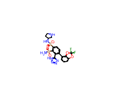 NS(=O)(=O)c1c(S(=O)(=O)NC2CCNC2)ccc(-c2cccc3c2OC(F)(F)O3)c1-c1nnn[nH]1